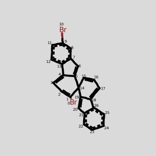 BrC1=CC=C2C(=Cc3cc(Br)ccc32)C12C=CC=C1C2=Cc2ccccc21